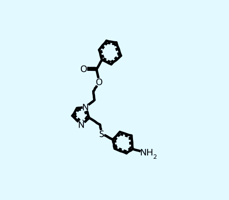 Nc1ccc(SCc2nccn2CCOC(=O)c2ccccc2)cc1